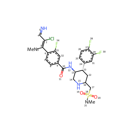 CN/C(=C(/Cl)C=N)c1ccc(C(=O)N[C@@H]2CNC(CS(=O)(=O)NC)C[C@H]2c2ccc(F)c(F)c2)cc1F